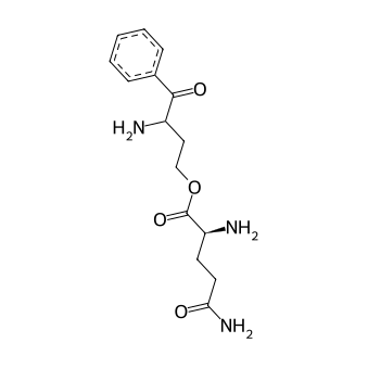 NC(=O)CC[C@H](N)C(=O)OCCC(N)C(=O)c1ccccc1